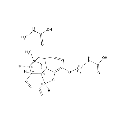 CNC(=O)O.CNC(=O)O.COC1=C2O[C@H]3C(=O)C=C[C@H]4[C@H]5CC(C=C1)C2[C@@]34CCN5C